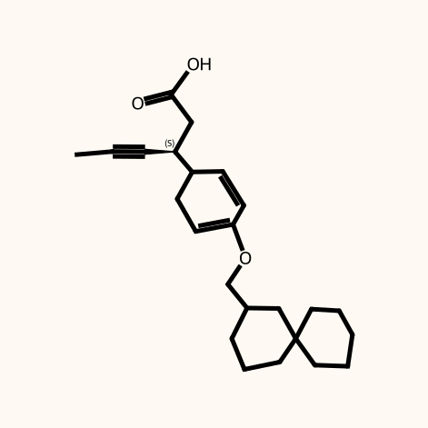 CC#C[C@@H](CC(=O)O)C1C=CC(OCC2CCCC3(CCCCC3)C2)=CC1